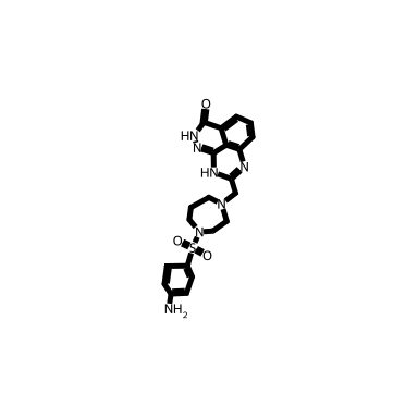 Nc1ccc(S(=O)(=O)N2CCCN(CC3=Nc4cccc5c(=O)[nH]nc(c45)N3)CC2)cc1